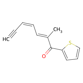 C#C/C=C\C=C(/C)C(=O)c1cccs1